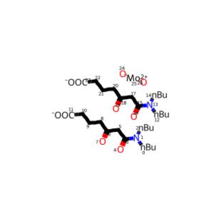 CCCCN(CCCC)C(=O)CC(=O)CCCC(=O)[O-].CCCCN(CCCC)C(=O)CC(=O)CCCC(=O)[O-].[O]=[Mo+2]=[O]